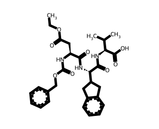 CCOC(=O)C[C@H](NC(=O)OCc1ccccc1)C(=O)N[C@H](C(=O)N[C@H](C(=O)O)C(C)C)C1Cc2ccccc2C1